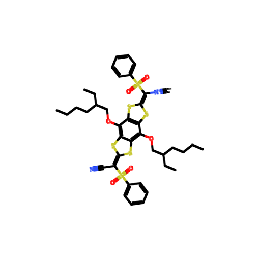 [C-]#[N+]C(=C1Sc2c(OCC(CC)CCCC)c3c(c(OCC(CC)CCCC)c2S1)SC(=C(C#N)S(=O)(=O)c1ccccc1)S3)S(=O)(=O)c1ccccc1